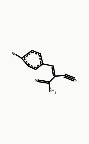 N#CC(=Cc1ccc(Br)cc1)C(N)=S